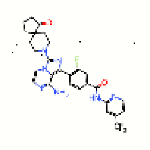 Nc1nccn2c(N3CCC4(CCCC4=O)CC3)nc(-c3ccc(C(=O)Nc4cc(C(F)(F)F)ccn4)cc3F)c12